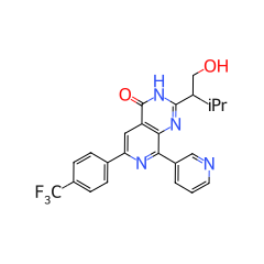 CC(C)C(CO)c1nc2c(-c3cccnc3)nc(-c3ccc(C(F)(F)F)cc3)cc2c(=O)[nH]1